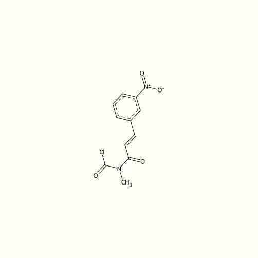 CN(C(=O)Cl)C(=O)/C=C/c1cccc([N+](=O)[O-])c1